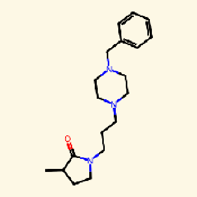 CC1CCN(CCCN2CCN(Cc3ccccc3)CC2)C1=O